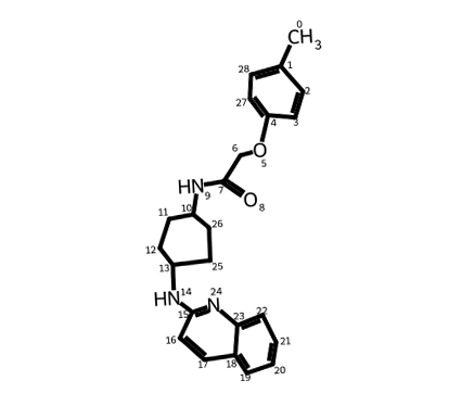 Cc1ccc(OCC(=O)NC2CCC(Nc3ccc4ccccc4n3)CC2)cc1